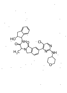 CC(C(=O)NC1c2ccccc2CC1O)N1Cc2ccc(-c3nc(NC4CCOCC4)ncc3Cl)cc2C1=O